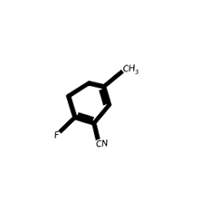 CC1=CC(C#N)=C(F)CC1